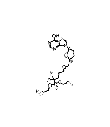 CCOP(=O)(OCC)C(F)(F)CCCOC[C@@H]1CC[C@H](n2cnc3c(O)ncnc32)O1